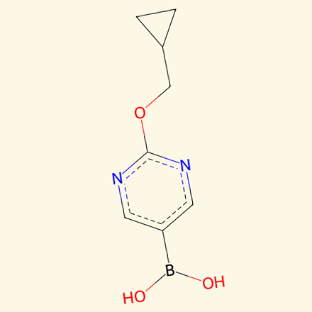 OB(O)c1cnc(OCC2CC2)nc1